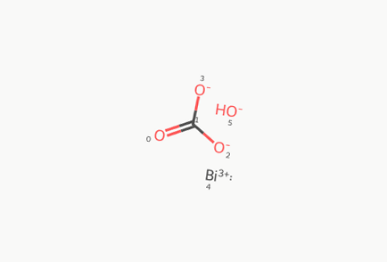 O=C([O-])[O-].[Bi+3].[OH-]